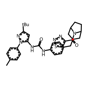 Cc1ccc(-n2nc(C(C)(C)C)cc2NC(=O)Nc2ccc(CC3CC4CCC(C3)N4C(=O)c3csnn3)cc2)cc1